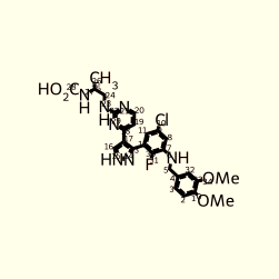 COc1ccc(CNc2cc(Cl)cc(-c3n[nH]cc3-c3ccnc(NCC(C)NC(=O)O)n3)c2F)cc1OC